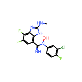 CNc1nc2c(F)c(F)cc(C(=N)N(O)c3ccc(F)c(Cl)c3)c2[nH]1